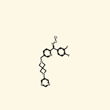 CCON=C(c1ccc(F)c(F)c1)c1ccc(CN2CC3(C2)CN(c2cncnc2)C3)cn1